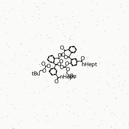 CCCCCCCC(=O)c1ccc(OC(=O)OCC(C)(C)C)c(C(=O)c2ccccc2C(=O)OOC(=O)c2ccccc2C(=O)c2cc(C(=O)CCCCCCC)ccc2OC(=O)OCC(C)(C)C)c1